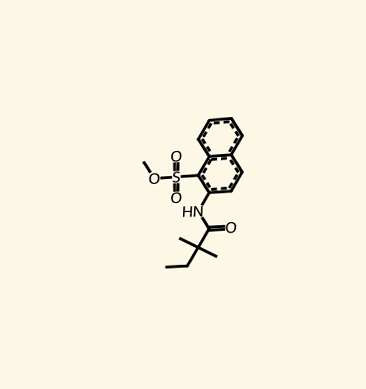 CCC(C)(C)C(=O)Nc1ccc2ccccc2c1S(=O)(=O)OC